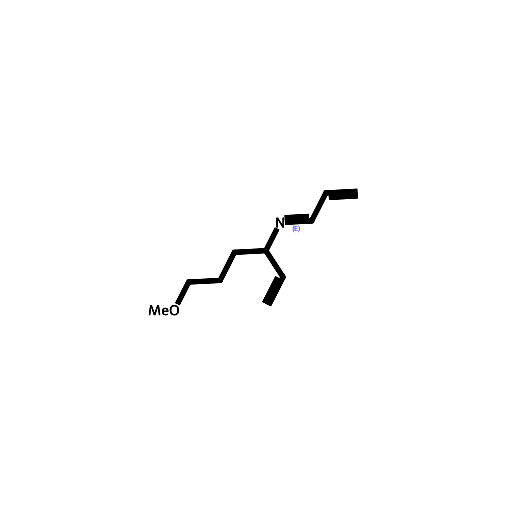 C=C/C=N/C(C=C)CCCOC